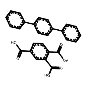 O=C(O)c1ccc(C(=O)O)c(C(=O)O)c1.c1ccc(-c2ccc(-c3ccccc3)cc2)cc1